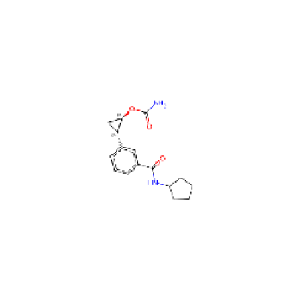 NC(=O)O[C@@H]1C[C@H]1c1cccc(C(=O)NC2CCCC2)c1